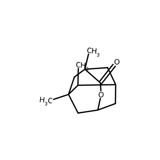 CC1C2CC3CC1(C)CC(C)(C2)C(=O)O3